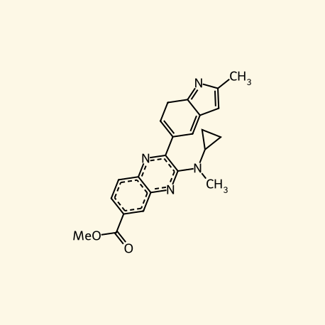 COC(=O)c1ccc2nc(C3=CCC4=NC(C)=CC4=C3)c(N(C)C3CC3)nc2c1